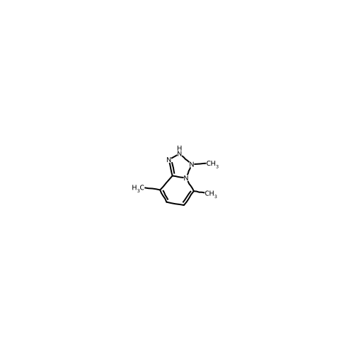 CC1=CC=C(C)N2C1=NNN2C